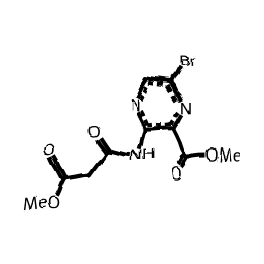 COC(=O)CC(=O)Nc1ncc(Br)nc1C(=O)OC